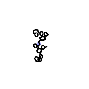 CCOc1cc(OC2CCCCO2)ccc1C(=O)/C=C/c1ccc(OC)c(OC2CCCCO2)c1